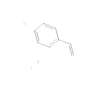 C=Cc1ccccc1.F.F.F.F